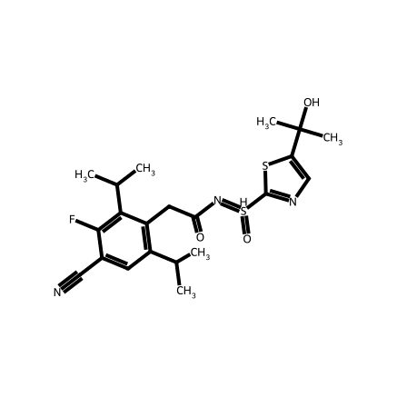 CC(C)c1cc(C#N)c(F)c(C(C)C)c1CC(=O)/N=[SH](=O)/c1ncc(C(C)(C)O)s1